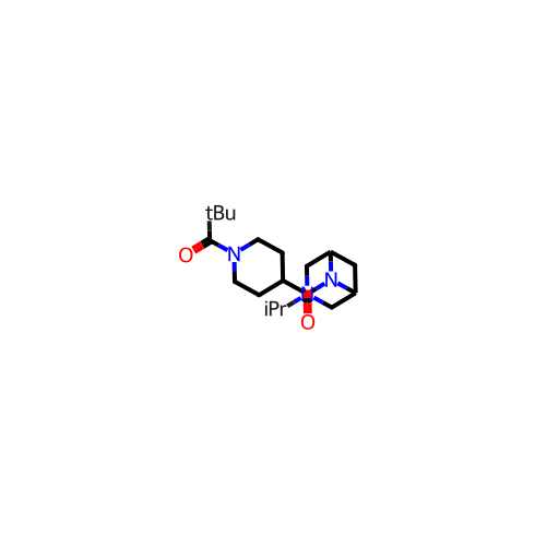 CC(C)N1CC2CC(C1)N2C(=O)C1CCN(C(=O)C(C)(C)C)CC1